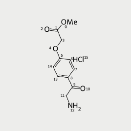 COC(=O)COc1ccc(C(=O)CN)cc1.Cl